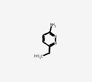 CCOC(=O)Cc1ccc(N)nn1